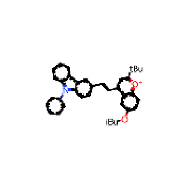 CCC(C)Oc1ccc2[o+]c(C(C)(C)C)cc(C=Cc3ccc4c(c3)c3ccccc3n4-c3ccccc3)c2c1